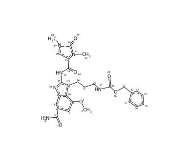 COc1cc(C(N)=O)cc2nc(NC(=O)c3cn(C)c(=O)n3C)n(CCCNC(=O)OCc3ccccc3)c12